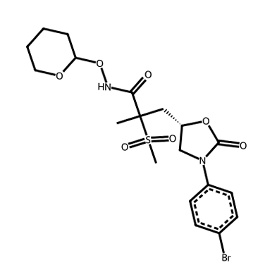 CC(C[C@H]1CN(c2ccc(Br)cc2)C(=O)O1)(C(=O)NOC1CCCCO1)S(C)(=O)=O